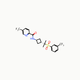 CC(C)([C@H]1C[C@H](NC(=O)c2ccc(C(F)(F)F)cn2)C1)S(=O)(=O)c1cccc(C(F)(F)F)c1